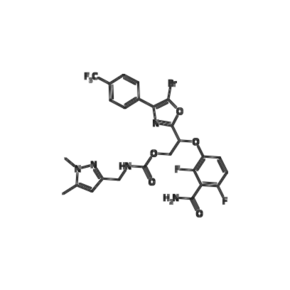 Cc1cc(CNC(=O)OCC(Oc2ccc(F)c(C(N)=O)c2F)c2nc(-c3ccc(C(F)(F)F)cc3)c(Br)o2)nn1C